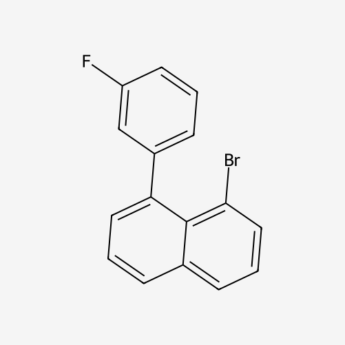 Fc1cccc(-c2cccc3cccc(Br)c23)c1